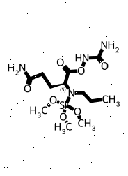 CCCN([C@@H](CCC(N)=O)C(=O)ONC(N)=O)[Si](OC)(OC)OC